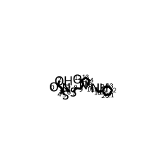 O=C(O)c1csc(SCCN2C(=O)CC[C@@H]2CNCC2CCCCC2)n1